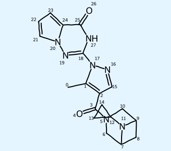 Cc1c(C(=O)N2CC3CC(C2)N3C2CC2)cnn1-c1nn2cccc2c(=O)[nH]1